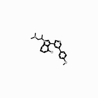 COc1ccc(-c2cncc(-c3cn(C(C)CN(C)C)c4cccc(Cl)c34)c2)cc1